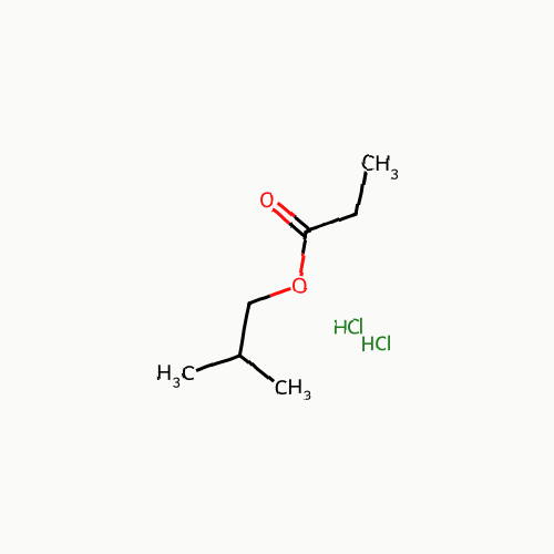 CCC(=O)OCC(C)C.Cl.Cl